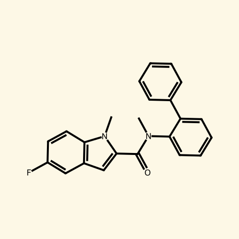 CN(C(=O)c1cc2cc(F)ccc2n1C)c1ccccc1-c1ccccc1